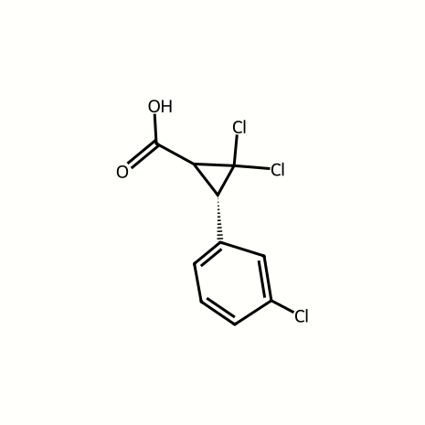 O=C(O)C1[C@@H](c2cccc(Cl)c2)C1(Cl)Cl